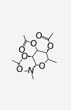 CC(=O)OC1[C@@H](OC(C)=O)C(C)O[C@@H](N(C)C)[C@H]1OC(C)=O